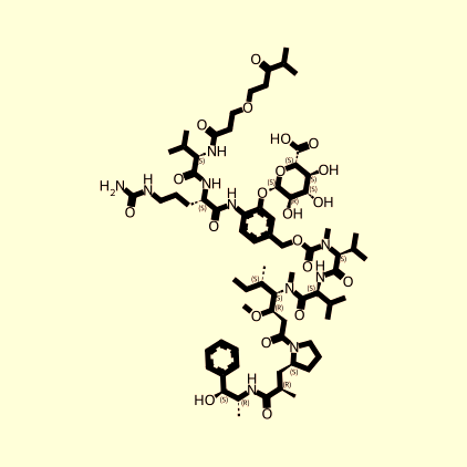 CC[C@H](C)[C@@H]([C@@H](CC(=O)N1CCC[C@H]1C[C@@H](C)C(=O)N[C@H](C)[C@@H](O)c1ccccc1)OC)N(C)C(=O)[C@@H](NC(=O)[C@H](C(C)C)N(C)C(=O)OCc1ccc(NC(=O)[C@H](CCCNC(N)=O)NC(=O)[C@@H](NC(=O)CCOCCC(=O)C(C)C)C(C)C)c(O[C@@H]2O[C@H](C(=O)O)[C@@H](O)[C@H](O)[C@H]2O)c1)C(C)C